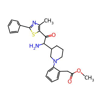 COC(=O)Cc1ccccc1N1CCCC(C(N)C(=O)c2sc(-c3ccccc3)nc2C)C1